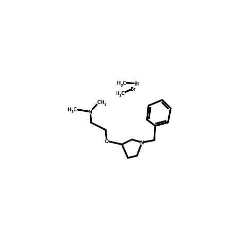 CBr.CBr.CN(C)CCOC1CCN(Cc2ccccc2)C1